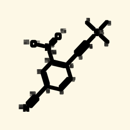 C[Si](C)(C)C#Cc1ccc(C#N)cc1[N+](=O)[O-]